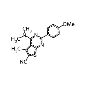 COc1ccc(-c2nc(N(C)C)c3c(C)c(C#N)sc3n2)cc1